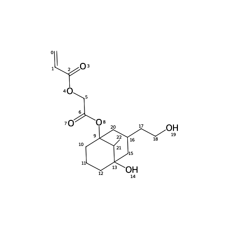 C=CC(=O)OCC(=O)OC12CCCC(O)(CC(CCO)C1)C2C